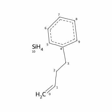 C=CCCc1ccccc1.[SiH4]